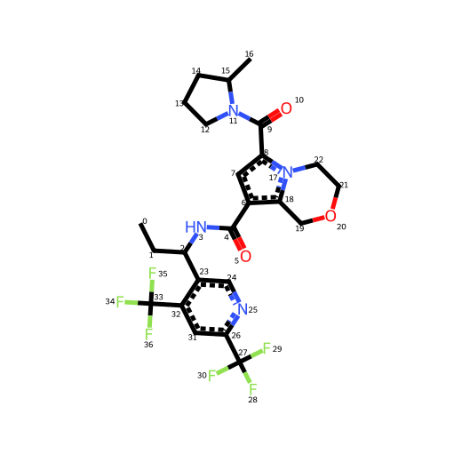 CCC(NC(=O)c1cc(C(=O)N2CCCC2C)n2c1COCC2)c1cnc(C(F)(F)F)cc1C(F)(F)F